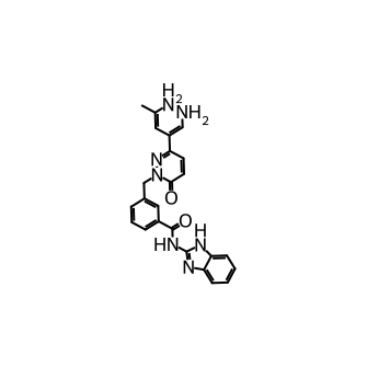 C/C(N)=C/C(=C\N)c1ccc(=O)n(Cc2cccc(C(=O)Nc3nc4ccccc4[nH]3)c2)n1